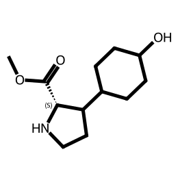 COC(=O)[C@H]1NCCC1C1CCC(O)CC1